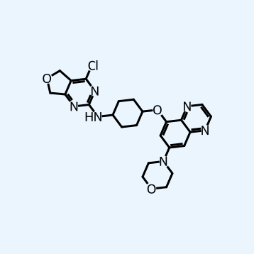 Clc1nc(NC2CCC(Oc3cc(N4CCOCC4)cc4nccnc34)CC2)nc2c1COC2